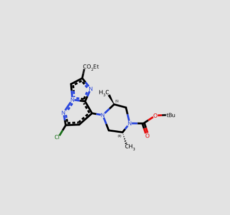 CCOC(=O)c1cn2nc(Cl)cc(N3C[C@@H](C)N(C(=O)OC(C)(C)C)C[C@@H]3C)c2n1